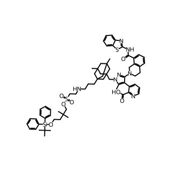 Cc1c(-c2cccnc2C(=O)O)c(N2CCc3cccc(C(=O)Nc4nc5ccccc5s4)c3C2)nn1CC12CC3(C)CC(C)(CC(CCCNCCS(=O)(=O)OCC(C)(C)CCO[Si](c4ccccc4)(c4ccccc4)C(C)(C)C)(C3)C1)C2